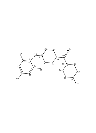 Cc1cc(C)c(SN2CCC(C(=O)N3CCC(C)CC3)CC2)c(C)c1